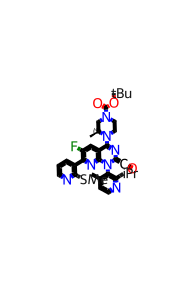 CSc1ncccc1-c1nc2c(cc1F)C(N1CCN(C(=O)OC(C)(C)C)C[C@@H]1C)=NC(=C=O)N2c1c(C)ccnc1C(C)C